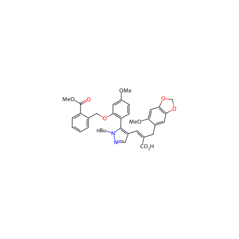 CCCCn1ncc(C=C(Cc2cc3c(cc2OC)OCO3)C(=O)O)c1-c1ccc(OC)cc1OCc1ccccc1C(=O)OC